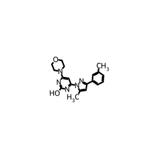 Cc1cccc(-c2cc(C)n(-c3cc(N4CCOCC4)nc(O)n3)n2)c1